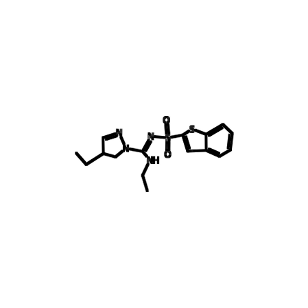 CCN/C(=N\S(=O)(=O)c1cc2ccccc2s1)N1CC(CC)C=N1